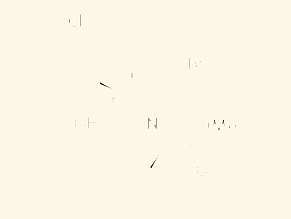 COC(=O)[C@@H](c1ccccc1)N1C[C@@H](c2cc(Cl)ccc2O)[C@H](c2ccccc2Br)C1